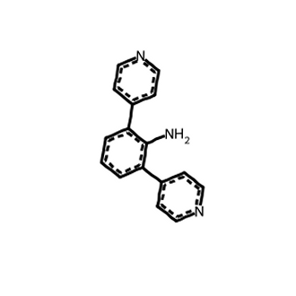 Nc1c(-c2ccncc2)cccc1-c1ccncc1